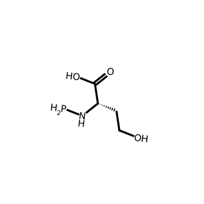 O=C(O)[C@H](CCO)NP